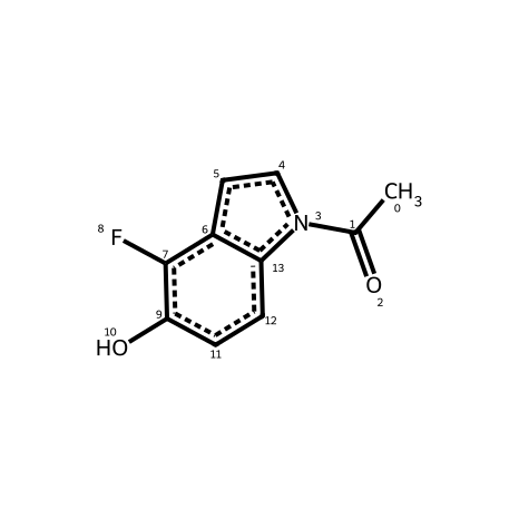 CC(=O)n1ccc2c(F)c(O)ccc21